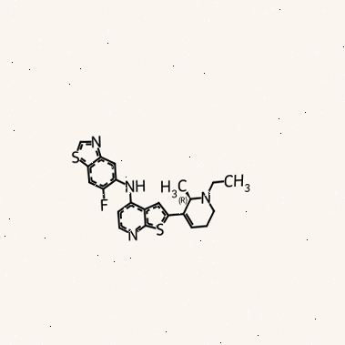 CCN1CCC=C(c2cc3c(Nc4cc5ncsc5cc4F)ccnc3s2)[C@H]1C